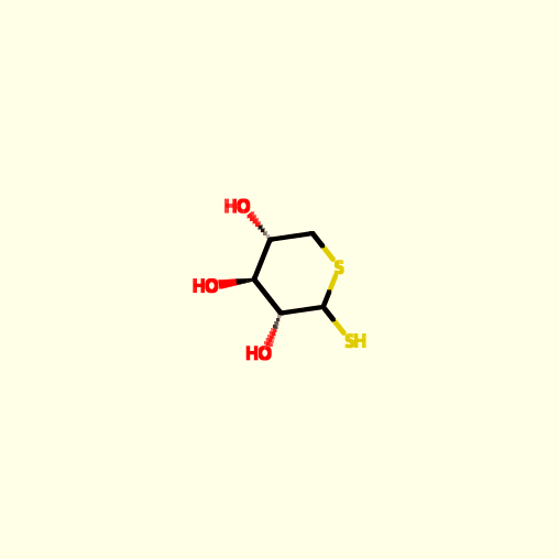 O[C@H]1[C@H](O)CSC(S)[C@@H]1O